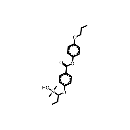 CCCOc1ccc(OC(=O)c2ccc(OC(CC)[Si](C)(C)O)cc2)cc1